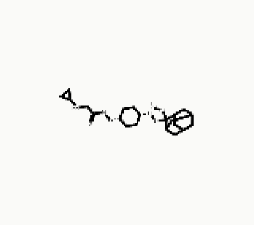 COC1(OO[C@H]2CC[C@@H](CNC(=O)CNC3CC3)CC2)C2CC3CC(C2)CC1C3